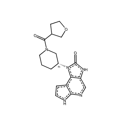 O=C(C1CCOC1)N1CCC[C@@H](n2c(=O)[nH]c3cnc4[nH]ccc4c32)C1